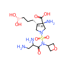 NCC(N)C(=O)N(C1COC1)S(=O)(=O)N1C[C@H](CCCB(O)O)[C@](N)(C(=O)O)C1